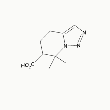 CC1(C)C(C(=O)O)CCc2cnnn21